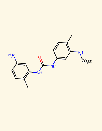 CCOC(=O)Nc1cc(NC(=O)Nc2cc(N)ccc2C)ccc1C